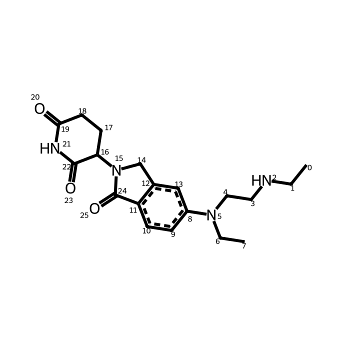 CCNCCN(CC)c1ccc2c(c1)CN(C1CCC(=O)NC1=O)C2=O